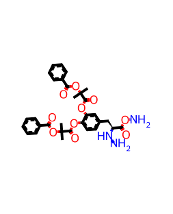 CC(C)(OC(=O)c1ccccc1)C(=O)Oc1ccc(C[C@H](NN)C(=O)ON)cc1OC(=O)C(C)(C)OC(=O)c1ccccc1